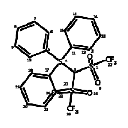 O=S(=O)(C(S(c1ccccc1)(c1ccccc1)c1ccccc1)S(=O)(=O)C(F)(F)F)C(F)(F)F